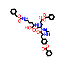 CC(C)NC(Cc1ccc(OC(=O)c2ccccc2)cc1)C(=O)NC(CCC(=O)OC(=O)c1ccccc1)C(=O)NC(CCCCNC(=O)OCc1ccccc1)C(=O)O